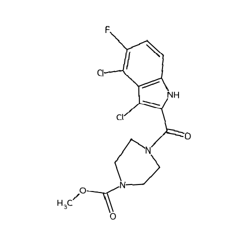 COC(=O)N1CCN(C(=O)c2[nH]c3ccc(F)c(Cl)c3c2Cl)CC1